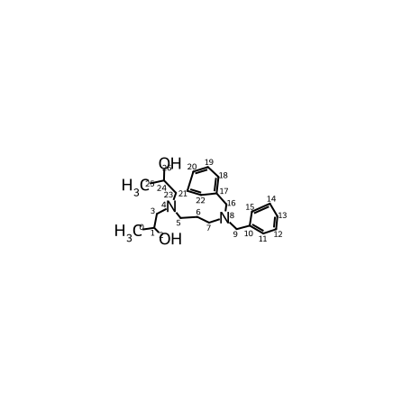 CC(O)CN(CCCN(Cc1ccccc1)Cc1ccccc1)CC(C)O